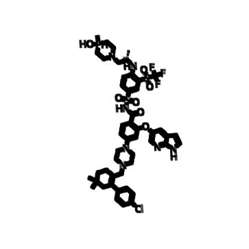 C[C@@H](CN1CC[PH](C)(O)CC1)Nc1ccc(S(=O)(=O)NC(=O)c2ccc(N3CCN(CC4=C(c5ccc(Cl)cc5)CC(C)(C)CC4)CC3)cc2Oc2cnc3[nH]ccc3c2)cc1S(=O)(=O)C(F)(F)F